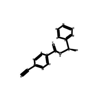 C#Cc1ccc(C(=O)O[C@H](C)c2ccccc2)cc1